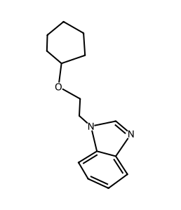 c1ccc2c(c1)ncn2CCOC1CCCCC1